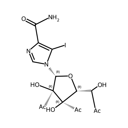 CC(=O)C(O)[C@H]1O[C@@H](n2cnc(C(N)=O)c2I)[C@@](O)(C(C)=O)[C@@]1(O)C(C)=O